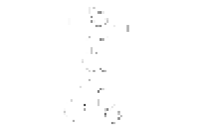 Cc1n[nH]c(C)c1S(=O)(=O)N1CCN(C(CC2CCCCC2)C(=O)Nc2nccs2)C(=O)C1